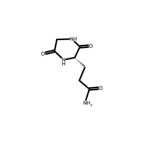 NC(=O)CC[C@@H]1NC(=O)CNC1=O